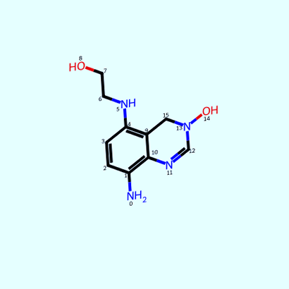 Nc1ccc(NCCO)c2c1N=CN(O)C2